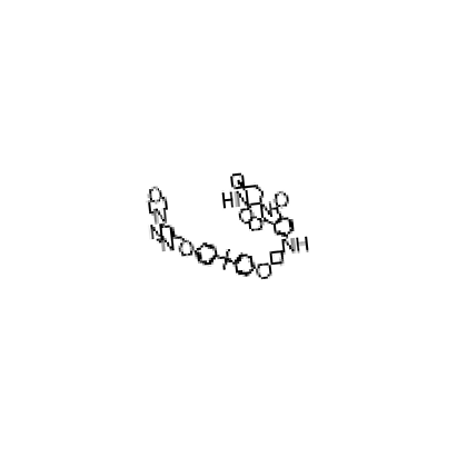 CC(C)(c1ccc(OCc2cc(N3CCOCC3)ncn2)cc1)c1ccc(OC2CC(Nc3ccc4c(c3)C(=O)N(C3CCC(=O)NC3=O)C4=O)C2)cc1